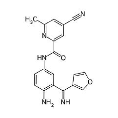 Cc1cc(C#N)cc(C(=O)Nc2ccc(N)c(C(=N)c3ccoc3)c2)n1